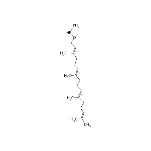 CC(C)=CCC/C(C)=C/CC/C(C)=C/CC/C(C)=C/COPP